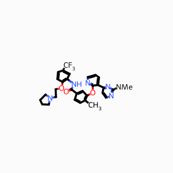 CNc1nccc(-c2cccnc2Oc2cc(C(=O)Nc3cc(C(F)(F)F)ccc3OCCN3CCCC3)ccc2C)n1